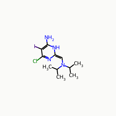 CC(C)N(C=C1N=C(Cl)C(I)=C(N)N1)C(C)C